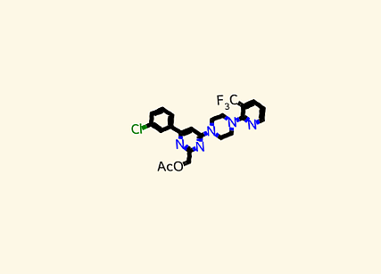 CC(=O)OCc1nc(-c2cccc(Cl)c2)cc(N2CCN(c3ncccc3C(F)(F)F)CC2)n1